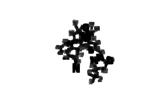 CC(C)(C)c1cnn(Cc2cc3nccc(-c4cc(C#N)cc5c4N([C@@H]4CN(S(=O)(=O)C(C)(C)C)C(C)(C)C4)CCC5)c3s2)c(=O)c1